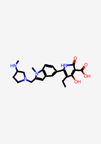 CCc1c(-c2ccc3c(c2)cc(CN2CCC(NC)C2)n3C)[nH]c(=O)c(C(=O)O)c1O